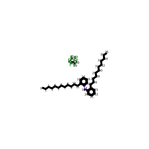 CCCCCCCCCCCCc1ccccc1[I+]c1ccccc1CCCCCCCCCCCC.[F][Sb-]([F])([F])([F])([F])[F]